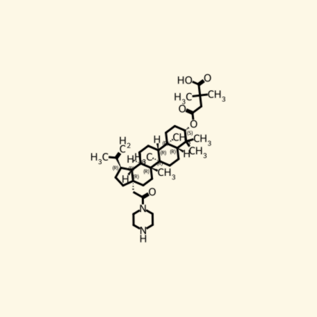 C=C(C)[C@@H]1CC[C@]2(CC(=O)N3CCNCC3)CC[C@]3(C)[C@H](CC[C@@H]4[C@@]5(C)CC[C@H](OC(=O)CC(C)(C)C(=O)O)C(C)(C)[C@@H]5CC[C@]43C)[C@@H]12